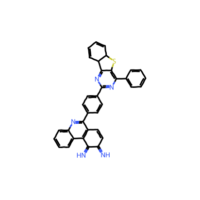 N=C1C=Cc2c(-c3ccc(-c4nc(-c5ccccc5)c5c(n4)C4C=CC=CC4S5)cc3)nc3ccccc3c2C1=N